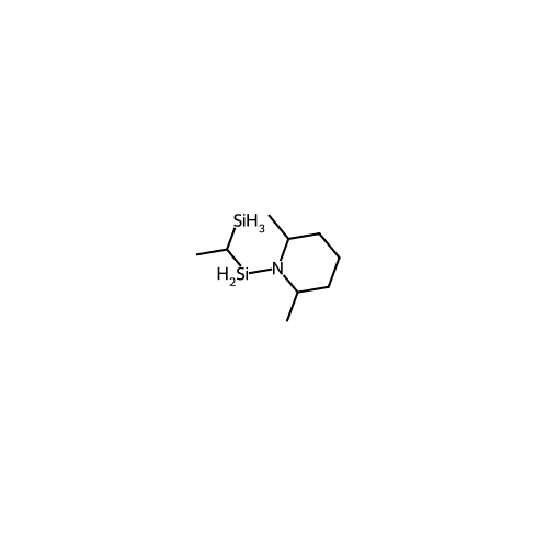 CC([SiH3])[SiH2]N1C(C)CCCC1C